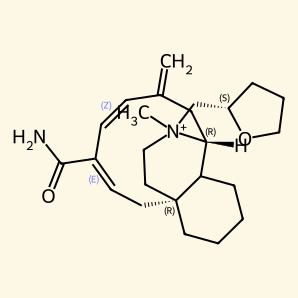 C=C1/C=C\C(C(N)=O)=C/C[C@@]23CCCCC2[C@@H](C1)[N+](C)(C[C@@H]1CCCO1)CC3